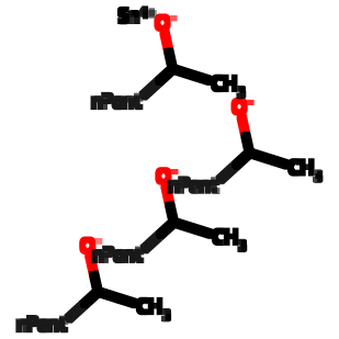 CCCCCC(C)[O-].CCCCCC(C)[O-].CCCCCC(C)[O-].CCCCCC(C)[O-].[Sn+4]